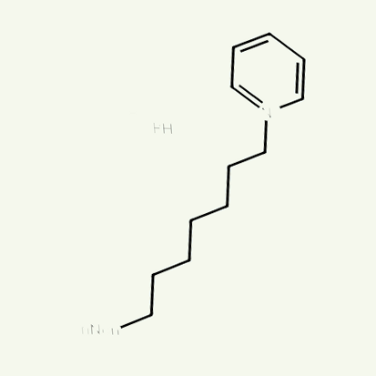 B.CCCCCCCCCCCCCCCC[n+]1ccccc1.[F-]